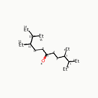 CCC(CC)C(CC)CCC(=O)CCC(CC)C(CC)CC